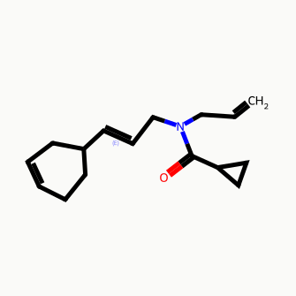 C=CCN(C/C=C/C1CC=CCC1)C(=O)C1CC1